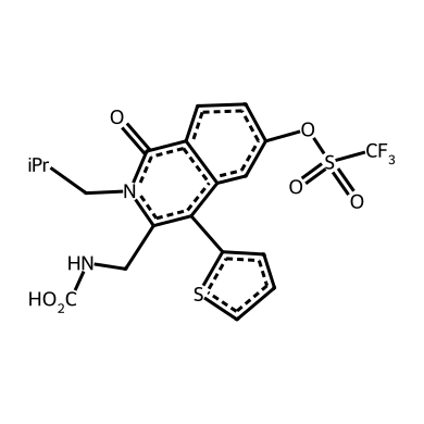 CC(C)Cn1c(CNC(=O)O)c(-c2cccs2)c2cc(OS(=O)(=O)C(F)(F)F)ccc2c1=O